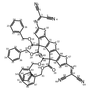 N#CC(C#N)=Nc1cc2c(s1)-c1sc3c(c1C2(C(=O)OCc1ccccc1)C(=O)OCc1ccccc1)C(C(=O)OCc1ccccc1)(C(=O)OCc1ccccc1)c1cc(N=C(C#N)C#N)sc1-3